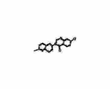 Cc1ccc2cc(-n3cnc4cc(Cl)ccc4c3=O)ccc2n1